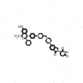 C[C@H]1O[C@H](C2CCCCC2)[C@@H](c2ccc(N3CCC(CN4CCN(c5ccc6c(c5)CN([C@H]5CCC(=O)NC5=O)C6=O)CC4)CC3)cc2)c2ccc(O)cc21